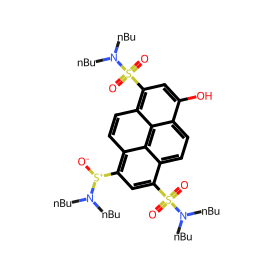 CCCCN(CCCC)[S+]([O-])c1cc(S(=O)(=O)N(CCCC)CCCC)c2ccc3c(O)cc(S(=O)(=O)N(CCCC)CCCC)c4ccc1c2c34